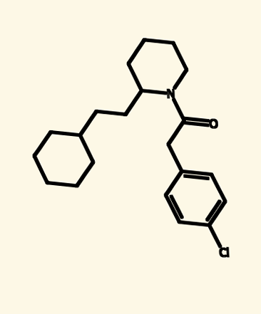 O=C(Cc1ccc(Cl)cc1)N1CCCCC1CCC1CCCCC1